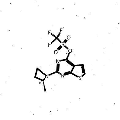 C[C@H]1CCN1c1nc(OS(=O)(=O)C(F)(F)F)c2ccsc2n1